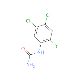 NC(=O)Nc1cc(Cl)c(Cl)cc1Cl